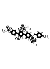 COc1cc(-c2ccc(OS(C)(=O)=O)cc2)c(OC)c(OS(C)(=O)=O)c1-c1ccc(OCc2ccc(C)cc2C)c(OS(C)(=O)=O)c1